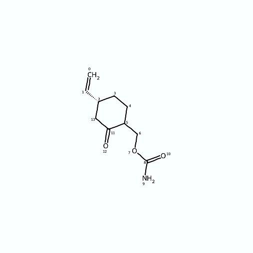 C=C[C@@H]1CCC(COC(N)=O)C(=O)C1